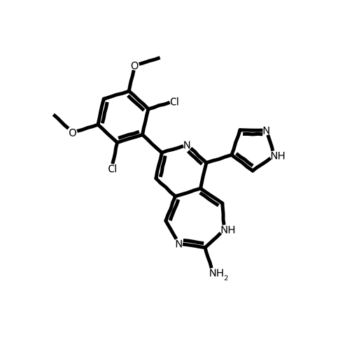 COc1cc(OC)c(Cl)c(-c2cc3c(c(-c4cn[nH]c4)n2)=CNC(N)=NC=3)c1Cl